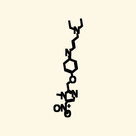 CCN(CC)CC=CN=C1C=CC(OCc2ncc([N+](=O)[O-])n2C)=CC1